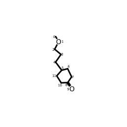 COCCCC1CCC(=O)CC1